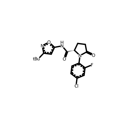 CC(C)(C)c1cc(NC(=O)[C@@H]2CCC(=O)N2c2ccc(Cl)cc2F)on1